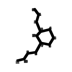 C[CH]CC1CCCC(CCCC)C1